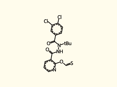 CC(C)(C)N(NC(=O)c1cccnc1OC=S)C(=O)c1ccc(Cl)c(Cl)c1